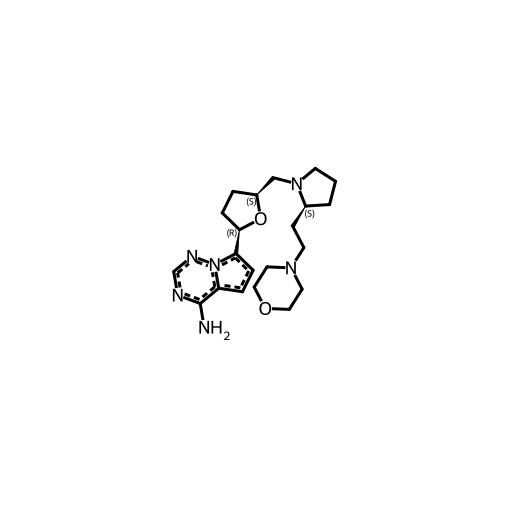 Nc1ncnn2c([C@H]3CC[C@@H](CN4CCC[C@H]4CCN4CCOCC4)O3)ccc12